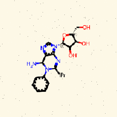 CC(C)C1=Nc2c(ncn2[C@@H]2O[C@H](CO)C(O)C2O)C(N)N1c1ccccc1